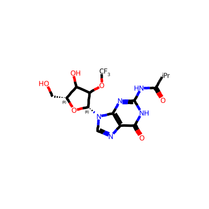 CC(C)C(=O)Nc1nc2c(ncn2[C@@H]2O[C@H](CO)C(O)C2OC(F)(F)F)c(=O)[nH]1